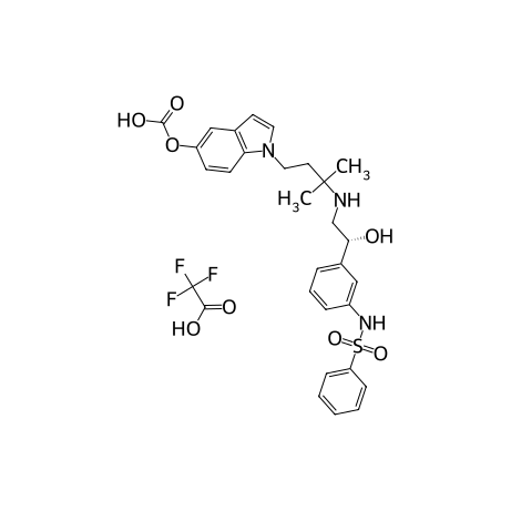 CC(C)(CCn1ccc2cc(OC(=O)O)ccc21)NC[C@H](O)c1cccc(NS(=O)(=O)c2ccccc2)c1.O=C(O)C(F)(F)F